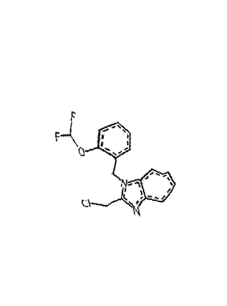 FC(F)Oc1ccccc1Cn1c(CCl)nc2ccccc21